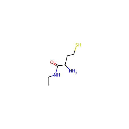 CCNC(=O)C(N)CCS